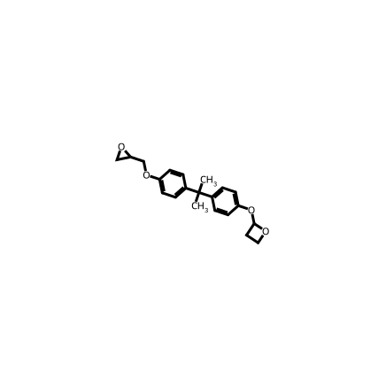 CC(C)(c1ccc(OCC2CO2)cc1)c1ccc(OC2CCO2)cc1